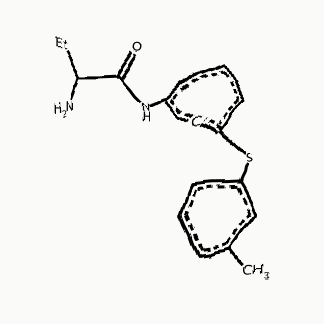 CCC(N)C(=O)Nc1cccc(Sc2cccc(C)c2)c1